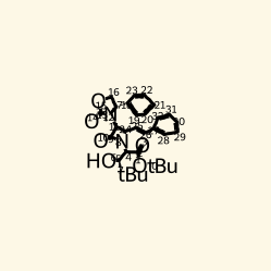 CC(C)(C)OC(=O)C([C@H](O)C(C)(C)C)N1C(=O)C(N2C(=O)OC[C@@H]2c2ccccc2)C1C=Cc1ccccc1